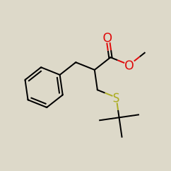 COC(=O)C(CSC(C)(C)C)Cc1ccccc1